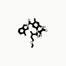 CCOCCC(C)c1nnc2c(=O)[nH]c3cc(C)c(C(=O)N4Cc5cccc(C)c5C4)cc3n12